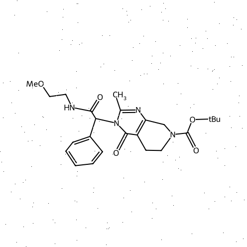 COCCNC(=O)C(c1ccccc1)n1c(C)nc2c(c1=O)CCN(C(=O)OC(C)(C)C)C2